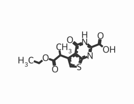 CCOC(=O)C(C)c1csc2nc(C(=O)O)[nH]c(=O)c12